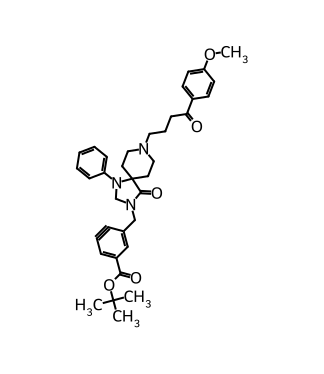 COc1ccc(C(=O)CCCN2CCC3(CC2)C(=O)N(Cc2c#ccc(C(=O)OC(C)(C)C)c2)CN3c2ccccc2)cc1